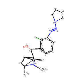 CC12CC(C1)[C@H]([C@H](O)c1cccc(/N=N/N3CCCC3)c1F)N2C(=O)O